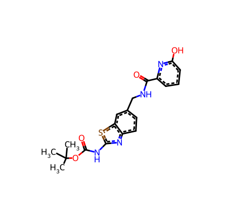 CC(C)(C)OC(=O)Nc1nc2ccc(CNC(=O)c3cccc(O)n3)cc2s1